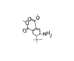 COC(=O)c1cc(N)c(C(C)(C)C)cc1C(=O)OC